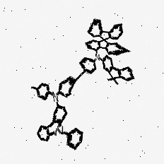 Cc1ccc(N(c2ccc(-c3ccc(N(c4ccc5c(c4)C(C)(C)c4ccccc4-5)c4cccc5c4-c4ccccc4C54c5ccccc5-c5ccccc54)cc3)cc2)c2ccc3c(c2)c2ccccc2n3-c2ccccc2)cc1